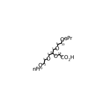 CCCOCCOCC(COCCOCCC)OCC(=O)O